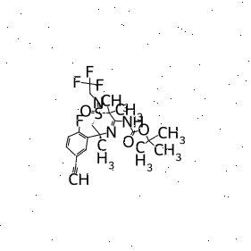 C#Cc1ccc(F)c([C@]2(C)C[S@](=O)(=NCC(F)(F)F)C(C)(C)C(NC(=O)OC(C)(C)C)=N2)c1